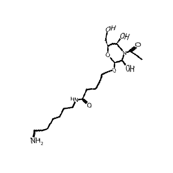 CC(=O)N1C(O)C(OCCCC(=O)NCCCCCCN)O[C@@H](CO)[C@H]1O